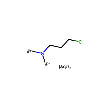 CC(C)N(CCCCl)C(C)C.[MgH2]